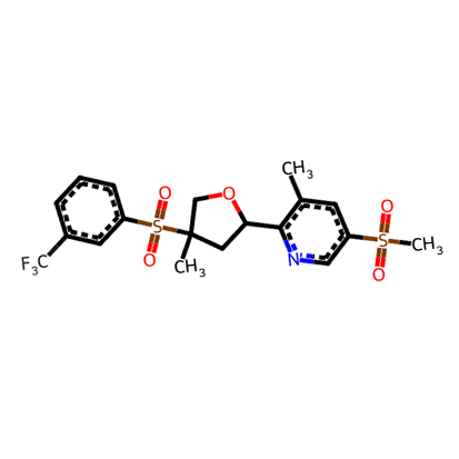 Cc1cc(S(C)(=O)=O)cnc1C1CC(C)(S(=O)(=O)c2cccc(C(F)(F)F)c2)CO1